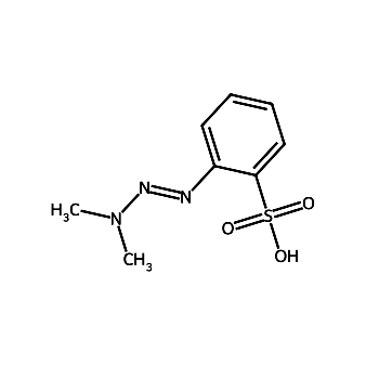 CN(C)N=Nc1ccccc1S(=O)(=O)O